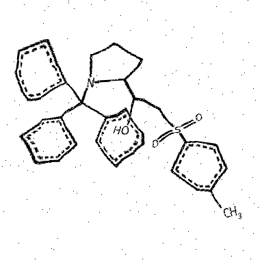 Cc1ccc(S(=O)(=O)CC(O)C2CCCN2C(c2ccccc2)(c2ccccc2)c2ccccc2)cc1